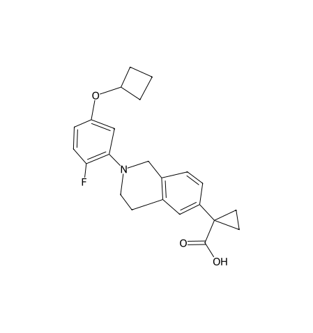 O=C(O)C1(c2ccc3c(c2)CCN(c2cc(OC4CCC4)ccc2F)C3)CC1